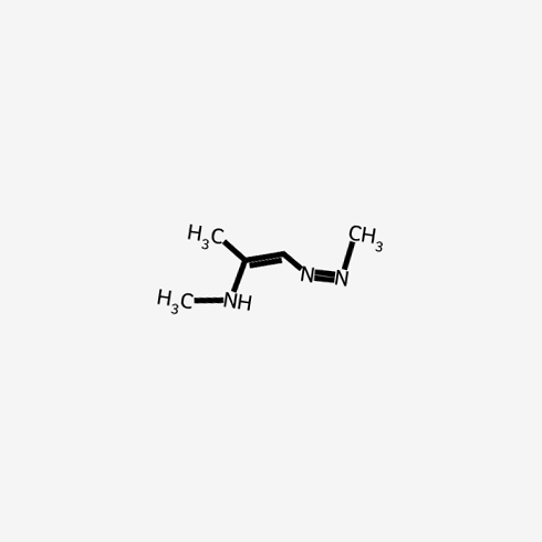 C/N=N\C=C(\C)NC